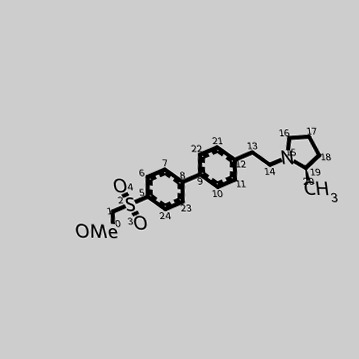 COCS(=O)(=O)c1ccc(-c2ccc(CCN3CCC[C@H]3C)cc2)cc1